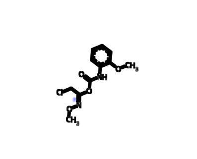 CO/N=C(\CCl)OC(=O)Nc1ccccc1OC